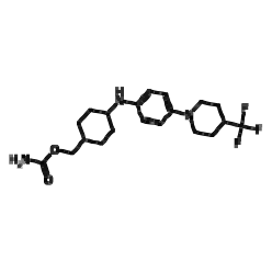 NC(=O)OCC1CCC(Nc2ccc(N3CCC(C(F)(F)F)CC3)cc2)CC1